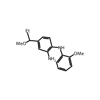 CCC(OC)c1ccc(Nc2ccccc2OC)c(N)c1